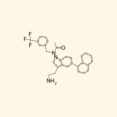 CC(=O)N(Cc1cccc(C(F)(F)F)c1)n1cc(CCN)c2cc(-c3cccc4ccccc34)ccc21